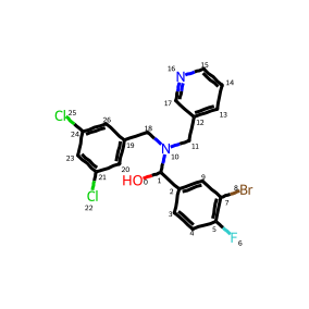 OC(c1ccc(F)c(Br)c1)N(Cc1cccnc1)Cc1cc(Cl)cc(Cl)c1